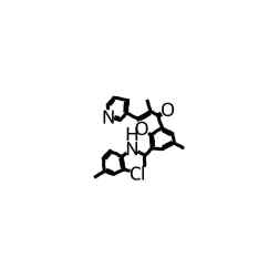 Cc1ccc(NC(C)c2cc(C)cc3c(=O)c(C)c(-c4cccnc4)oc23)c(Cl)c1